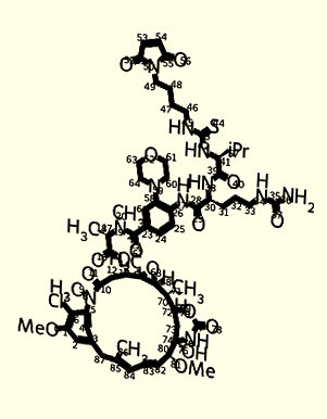 COc1cc2cc(c1Cl)N(C)C(=O)C[C@H](OC(=O)[C@H](C)N(C)C(=O)c1ccc(NC(=O)[C@H](CCCNC(N)=O)NC(=O)[C@@H](NC(=S)NCCCCN3C(=O)C=CC3=O)C(C)C)c(N3CCOCC3)c1)[C@]1(C)O[C@H]1[C@H](C)[C@@H]1C[C@@](O)(NC(=O)O1)[C@H](OC)/C=C/C=C(\C)C2